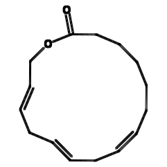 O=C1CCCCC/C=C\C/C=C/C/C=C/CO1